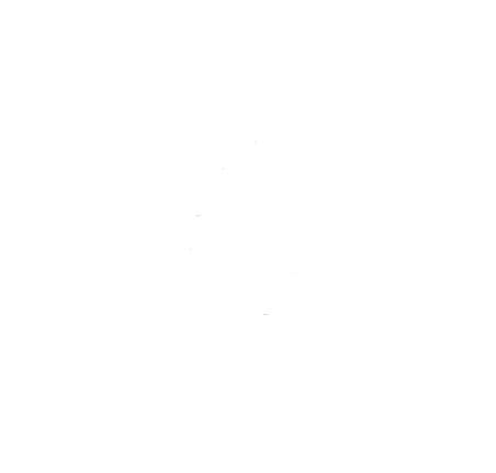 Fc1cccc(F)c1-c1[c]ccc2ccccc12